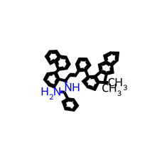 CC1(C)c2cc3ccccc3cc2-c2c(-c3ccccc3/C=C/C(NC(N)c3ccccc3)c3ccccc3-c3cccc4ccccc34)cccc21